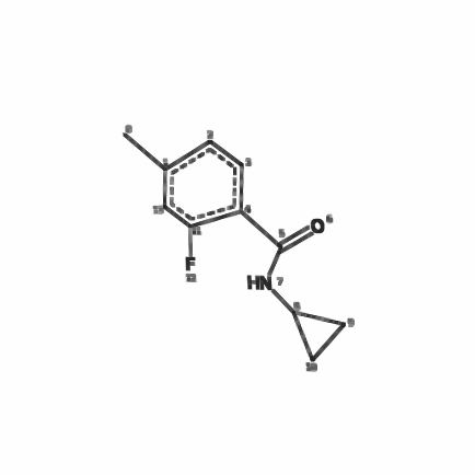 Cc1ccc(C(=O)NC2CC2)c(F)c1